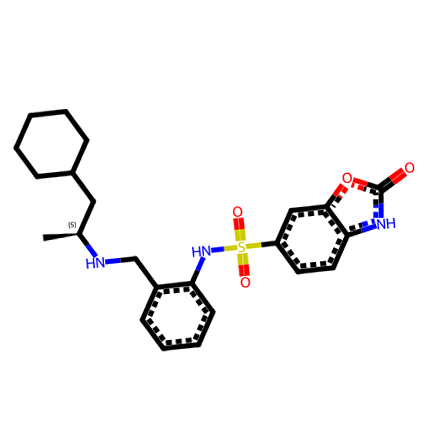 C[C@@H](CC1CCCCC1)NCc1ccccc1NS(=O)(=O)c1ccc2[nH]c(=O)oc2c1